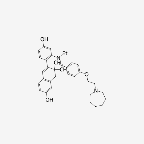 CCN(Cc1ccc(OCCN2CCCCCC2)cc1)c1cc(O)ccc1C1=Cc2ccc(O)cc2CC1(C)C